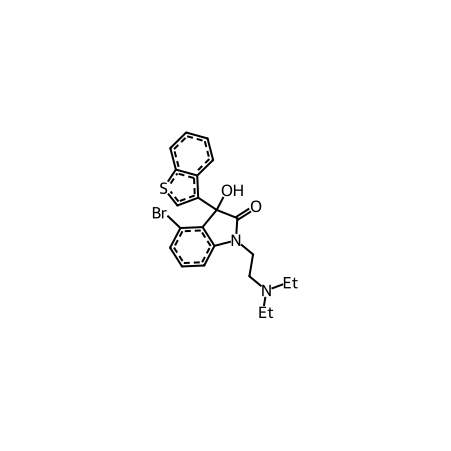 CCN(CC)CCN1C(=O)C(O)(c2csc3ccccc23)c2c(Br)cccc21